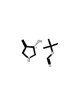 C=C1CNC[C@H]1O.CC(C)(C)OC=O